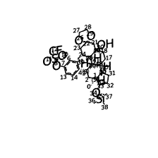 C[C@]12C[C@H](c3ccc(OS(=O)(=O)C(F)(F)F)cc3)[C@H]3[C@@H](CC[C@@]4(O)CC5(CC[C@H]34)OCCO5)[C@@H]1CC=C2O[Si](C)(C)C